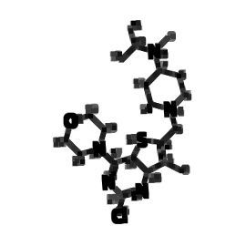 CC1=C(CN2CCC(N(C)C(C)C)CC2)SC2C(N3CCOCC3)=NC(Cl)=NC12